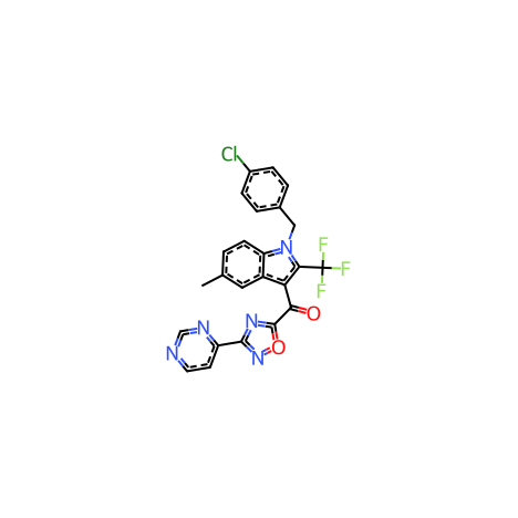 Cc1ccc2c(c1)c(C(=O)c1nc(-c3ccncn3)no1)c(C(F)(F)F)n2Cc1ccc(Cl)cc1